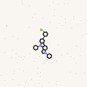 Brc1cccc(-c2ccc3c(c2)c2ccc4c(ccn4-c4ccccc4)c2n3-c2ccccc2)c1